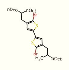 CCCCCCCCCCC(CCCCCCCC)Cc1cc(-c2cc(CC(C)CCCCCCCC)c(Br)s2)sc1Br